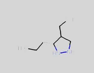 CCC[C@H]1NNCC1CC